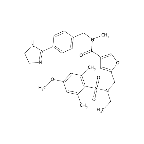 CCN(Cc1cc(C(=O)N(C)Cc2ccc(C3=NCCN3)cc2)co1)S(=O)(=O)c1c(C)cc(OC)cc1C